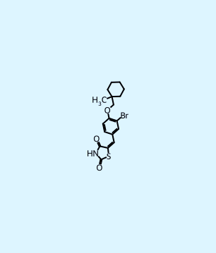 CC1(COc2ccc(C=C3SC(=O)NC3=O)cc2Br)CCCCC1